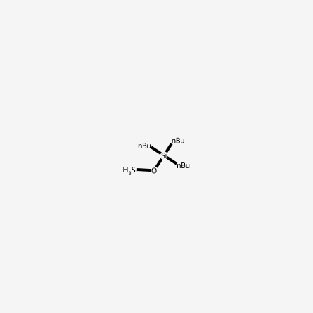 CCCC[Si](CCCC)(CCCC)O[SiH3]